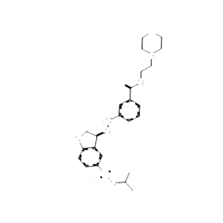 CC(C)NS(=O)(=O)c1ccc2c(c1)/C(=N/Nc1cccc(C(=O)NCCN3CCOCC3)c1)CN2